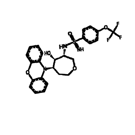 N=S(=O)(N[C@@H]1COCC[C@@H](N2c3ccccc3Oc3ccccc32)[C@H]1O)c1ccc(OC(F)(F)F)cc1